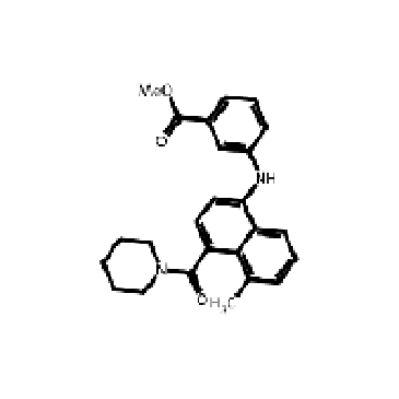 COC(=O)c1cccc(Nc2ccc(C(=O)N3CCCCC3)c3c(C)cccc23)c1